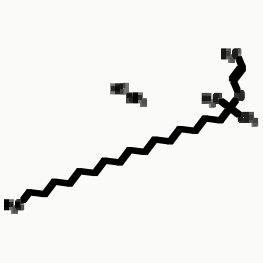 CC=COC(C)(C)CCCCCCCCCCCCCCCCC.Cl.N